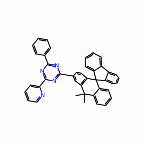 CC1(C)c2ccccc2C2(c3ccccc3-c3ccccc32)c2ccc(-c3nc(-c4ccccc4)nc(-c4ccccn4)n3)cc21